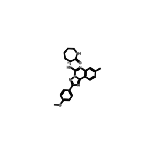 COc1ccc(-c2nc3c4ccc(C)cc4nc(N[C@@H]4CCCCNC4=O)n3n2)cc1